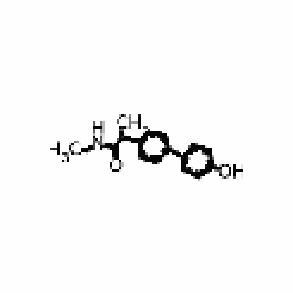 CCNC(=O)C(C)c1ccc(-c2ccc(O)cc2)cc1